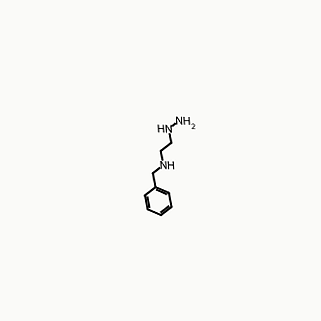 NNCCNCc1ccccc1